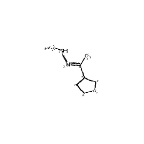 O=C(O)NN=C(C1CCOC1)C(F)(F)F